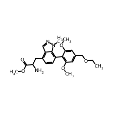 CCOCc1cc(OC)c(-c2ccc(CC(N)C(=O)OC)c3cnn(C)c23)c(OC)c1